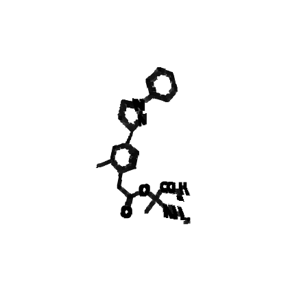 Cc1cc(-c2ccn(-c3ccccc3)n2)ccc1CC(=O)OC(C)(N)C(=O)O